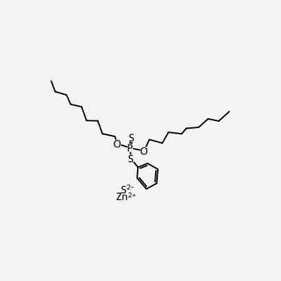 CCCCCCCCCOP(=S)(OCCCCCCCCC)Sc1ccccc1.[S-2].[Zn+2]